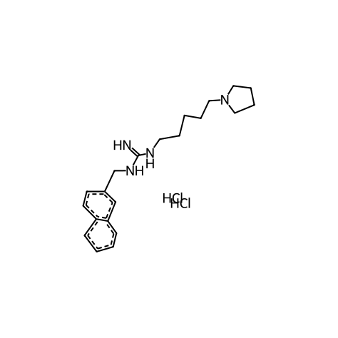 Cl.Cl.N=C(NCCCCCN1CCCC1)NCc1ccc2ccccc2c1